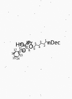 CCCCCCCCCCCCCCCCOCC(OCc1ccccc1)C(O)C(C)C